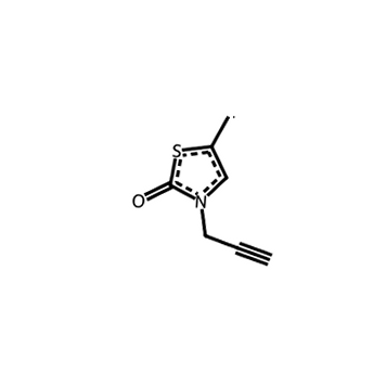 C#CCn1cc([CH2])sc1=O